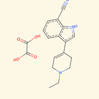 CCN1CC=C(c2c[nH]c3c(C#N)cccc23)CC1.O=C(O)C(=O)O